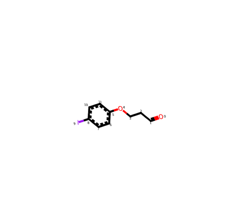 O=[C]CCOc1ccc(I)cc1